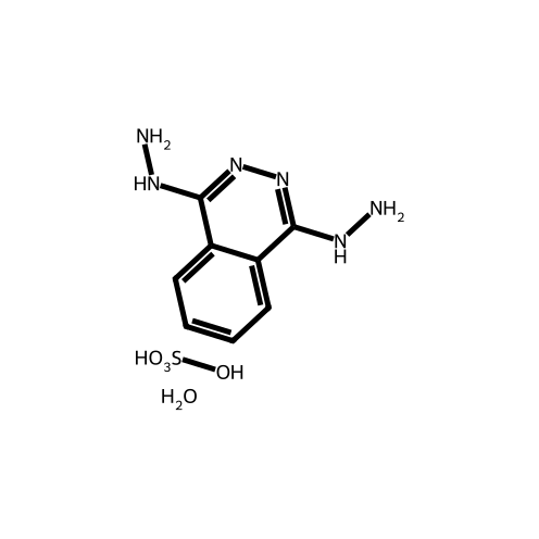 NNc1nnc(NN)c2ccccc12.O.O=S(=O)(O)O